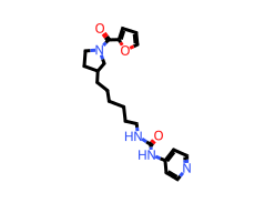 O=C(NCCCCCCC1CCN(C(=O)c2ccco2)C1)Nc1ccncc1